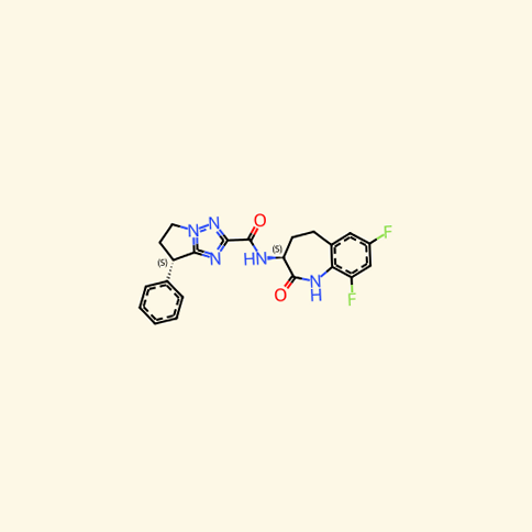 O=C(N[C@H]1CCc2cc(F)cc(F)c2NC1=O)c1nc2n(n1)CC[C@H]2c1ccccc1